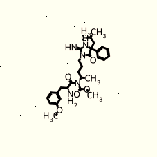 COC(=O)N(C(=O)[C@@H](N)Cc1cccc(OC)c1)C(C)CCCN1C(=N)NC(CC(C)C)(c2ccccc2)C1=O